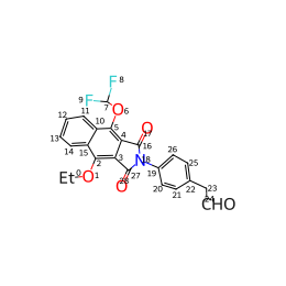 CCOc1c2c(c(OC(F)F)c3ccccc13)C(=O)N(c1ccc(CC=O)cc1)C2=O